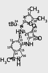 Cc1cc([C@H](Nc2c(Nc3c(F)ccc4c3CN[C@H]4C)c(=O)c2=O)C(C)(C)C)oc1C